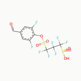 O=Cc1cc(F)c(OS(=O)(=O)C(F)(F)C(F)(F)C(F)(F)S(=O)(=O)O)c(F)c1